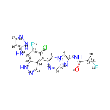 O=C(Nc1cn2cc(-c3c(Cl)c(F)c(Nc4ccn[nH]4)c4[nH]ncc34)ncc2n1)C1CC1F